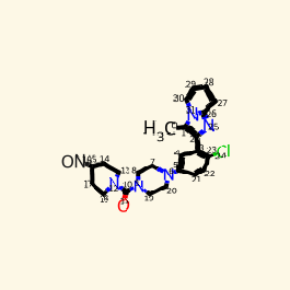 Cc1c(-c2cc(N3CCN(C(=O)N4CCC(N=O)CC4)CC3)ccc2Cl)nc2ccccn12